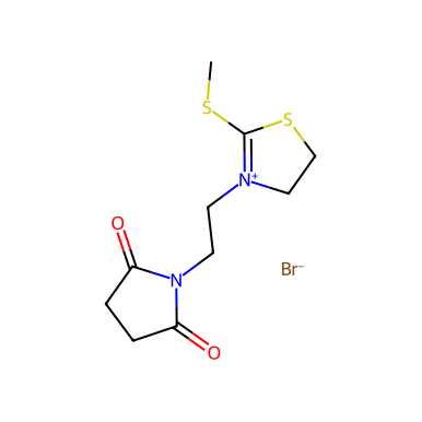 CSC1=[N+](CCN2C(=O)CCC2=O)CCS1.[Br-]